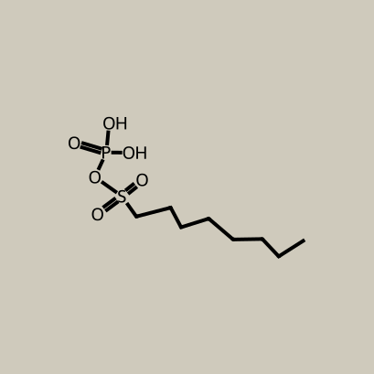 CCCCCCCCS(=O)(=O)OP(=O)(O)O